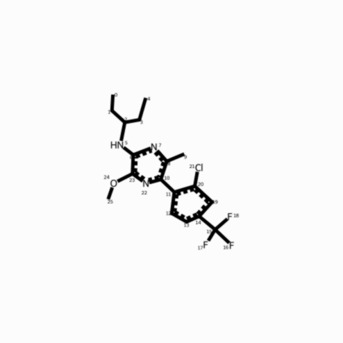 CCC(CC)Nc1nc(C)c(-c2ccc(C(F)(F)F)cc2Cl)nc1OC